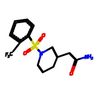 NC(=O)CC1CCCN(S(=O)(=O)c2ccccc2C(F)(F)F)C1